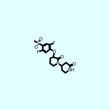 CS(=O)(=O)c1cc(F)c(OC2CCCN(C3CCNC(=O)C3)C2=O)cc1F